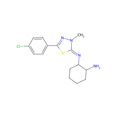 Cn1nc(-c2ccc(Cl)cc2)sc1=NC1CCCCC1N